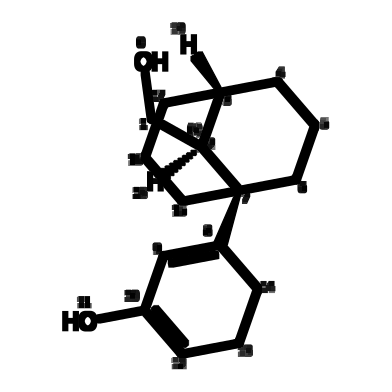 OC[C@H]1[C@H]2CCC[C@]1(C1=CC(O)=CCC1)CCC2